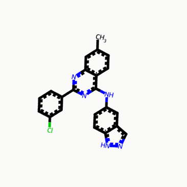 Cc1ccc2c(Nc3ccc4[nH]ncc4c3)nc(-c3cccc(Cl)c3)nc2c1